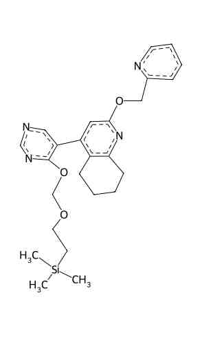 C[Si](C)(C)CCOCOc1ncncc1-c1cc(OCc2ccccn2)nc2c1CCCC2